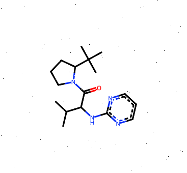 CC(C)C(Nc1ncccn1)C(=O)N1CCCC1C(C)(C)C